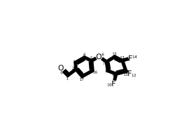 O=Cc1ccc(Oc2cc(F)c(F)c(F)c2)cc1